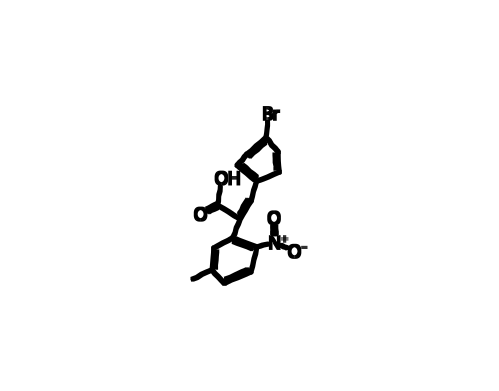 Cc1ccc([N+](=O)[O-])c(C(=Cc2ccc(Br)cc2)C(=O)O)c1